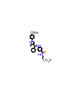 COc1ccc(-n2cc(C(Nc3ccc(C(=O)NCCC(=O)O)cc3)C3CCCCC3)c(C)n2)cc1